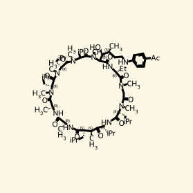 CC[C@H]1NC(=O)C([C@@H](O)[C@@H](C)CCNc2ccc(C(C)=O)cc2)N(C)C(=O)C(C(C)C)N(C)C(=O)[C@@H](CC(C)C)N(C)C(=O)[C@@H](CC(C)C)N(C)C(=O)[C@@H](C)NC(=O)[C@@H](C)NC(=O)[C@@H](CC(C)C)[C@H](C)C(=O)[C@@H](C(C)C)NC(=O)[C@@H](CC(C)C)N(C)C(=O)CN(C)C1=O